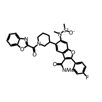 CNC(=O)c1c(-c2ccc(F)cc2)oc2cc(N(C)[S+](C)[O-])c(C3CCCN(C(=O)c4nc5ccccc5o4)C3)cc12